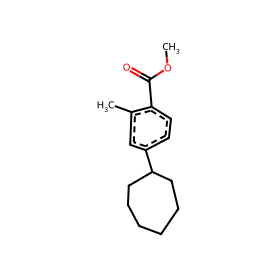 COC(=O)c1ccc(C2CCCCCC2)cc1C